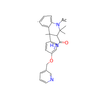 CC(=O)N1c2cc[c]cc2C(C)(c2ccc(OCc3cccnc3)cc2)C(C(N)=O)C1(C)C